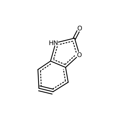 O=c1[nH]c2cc#ccc2o1